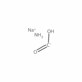 N.O=[C-]O.[Na+]